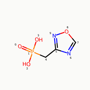 O=P(O)(O)Cc1ncon1